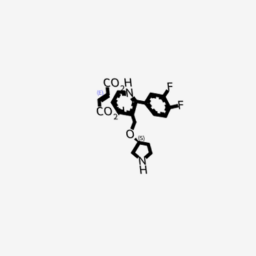 Fc1ccc(-c2ncccc2CO[C@H]2CCNC2)cc1F.O=C(O)/C=C/C(=O)O